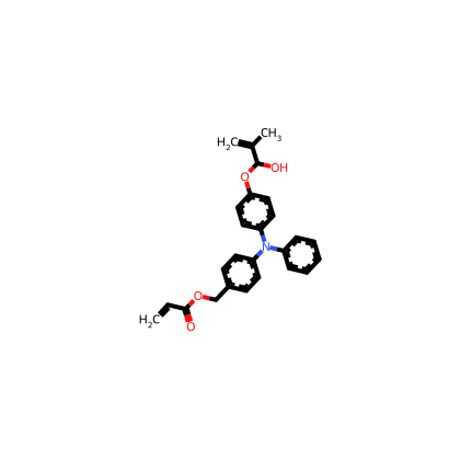 C=CC(=O)OCc1ccc(N(c2ccccc2)c2ccc(OC(O)C(=C)C)cc2)cc1